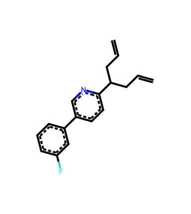 C=CCC(CC=C)c1ccc(-c2cccc(F)c2)cn1